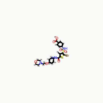 COC(=O)c1ccc(NS(=O)(=O)c2c(Br)sc(C(=O)Nc3ccc(OCCN4CCOCC4)cc3)c2C)cc1